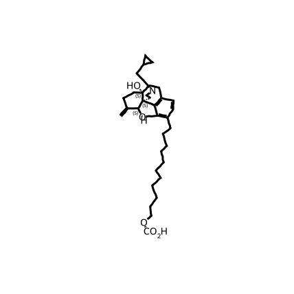 C=C1CC[C@@]2(O)C3Cc4ccc(CCCCCCCCCCCOC(=O)O)c5c4[C@@]2(CCN3CC2CC2)[C@H]1O5